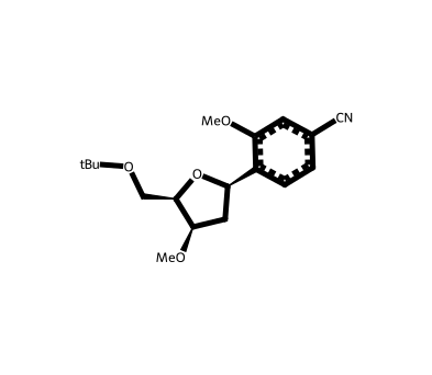 COc1cc(C#N)ccc1[C@H]1C[C@@H](OC)[C@@H](COC(C)(C)C)O1